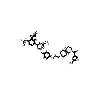 CC(C)c1ncc(C(=O)N2CCOC3(CCN(CCOc4ccc(CNC[C@H](OC(=O)C(F)(F)F)c5ccc(OC(=O)C(F)(F)F)c6[nH]c(=O)sc56)cc4)CC3)C2)s1